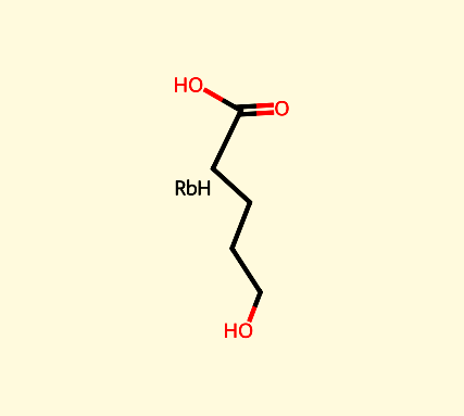 O=C(O)CCCCO.[RbH]